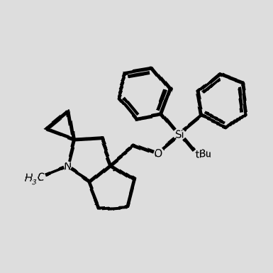 CN1C2CCCC2(CO[Si](c2ccccc2)(c2ccccc2)C(C)(C)C)CC12CC2